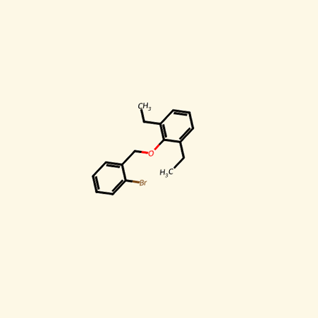 CCc1cccc(CC)c1OCc1ccccc1Br